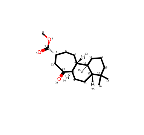 COC(=O)[C@@H]1CC[C@H]2[C@@H](CC[C@H]3C(C)(C)CCC[C@]23C)C(=O)C1